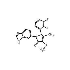 COC1=C(C)[C@H](c2cccc(F)c2F)N(c2ccc3nc[nH]c3c2)C1=O